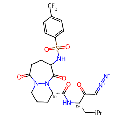 CC(C)C[C@H](NC(=O)[C@@H]1CCCN2C(=O)CCC(NS(=O)(=O)c3ccc(C(F)(F)F)cc3)C(=O)N12)C(=O)C=[N+]=[N-]